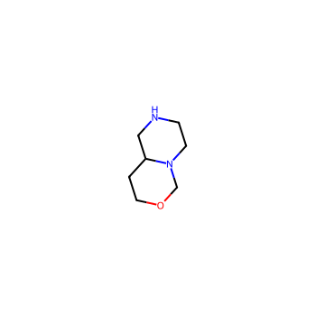 C1CN2COCCC2CN1